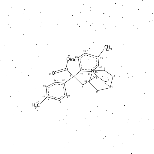 COC(=O)C(CC1CC2CCN1CC2)(c1ccc(C)cc1)c1ccc(C)cc1